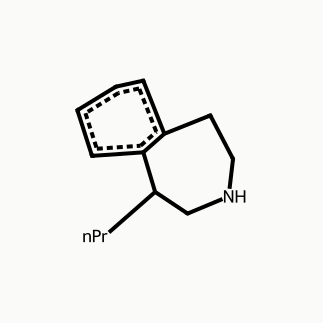 CCCC1CNCCc2ccccc21